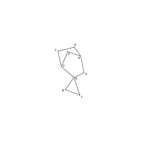 C1CC2CC1CC21CC1